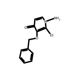 CCc1c(OCc2ccccc2)c(=O)ccn1N